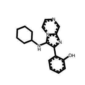 Oc1ccccc1-c1nc2cnccn2c1NC1CCCCC1